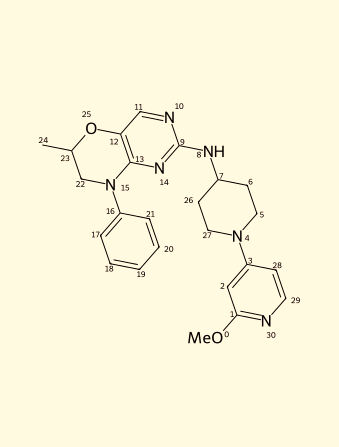 COc1cc(N2CCC(Nc3ncc4c(n3)N(c3ccccc3)CC(C)O4)CC2)ccn1